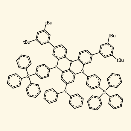 CC(C)(C)c1cc(-c2ccc3c(c2)N(c2ccc([Si](c4ccccc4)(c4ccccc4)c4ccccc4)cc2)c2cc(N(c4ccccc4)c4ccccc4)cc4c2B3c2ccc(-c3cc(C(C)(C)C)cc(C(C)(C)C)c3)cc2N4c2ccc([Si](c3ccccc3)(c3ccccc3)c3ccccc3)cc2)cc(C(C)(C)C)c1